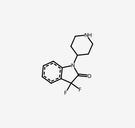 O=C1N(C2CCNCC2)c2ccccc2C1(F)F